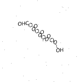 Cc1cc(OC(=O)c2ccc(OC(=O)c3ccc(C=O)cc3)cc2)ccc1OC(=O)c1ccc(OCCCCO)cc1